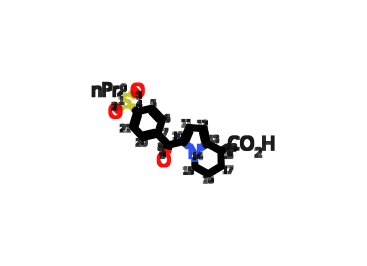 CCCS(=O)(=O)c1ccc(C(=O)c2ccc3n2CCCC3C(=O)O)cc1